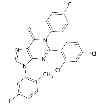 Cc1ccc(F)cc1-n1cnc2c(=O)n(-c3ccc(Cl)cc3)c(-c3ccc(Cl)cc3Cl)nc21